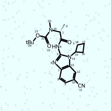 C[C@H](C(=O)Nc1nc2ccc(C#N)cc2n1C1CCC1)N(C)C(=O)OC(C)(C)C